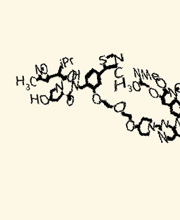 CNC(=O)COc1cc2cc(Nc3nc(N4CCC(OCCOCCOc5cc(-c6scnc6C)ccc5CNC(=O)[C@@H]5C[C@@H](O)CN5C(=O)C(c5cc(C)no5)C(C)C)CC4)ncc3Cl)ccc2n(C)c1=O